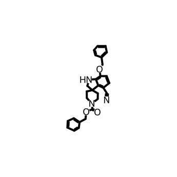 N#Cc1ccc(OCc2ccccc2)c2c1C1(CCN(C(=O)OCc3ccccc3)CC1)CN2